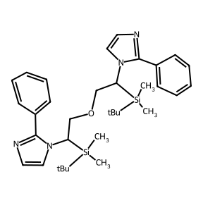 CC(C)(C)[Si](C)(C)C(COCC(n1ccnc1-c1ccccc1)[Si](C)(C)C(C)(C)C)n1ccnc1-c1ccccc1